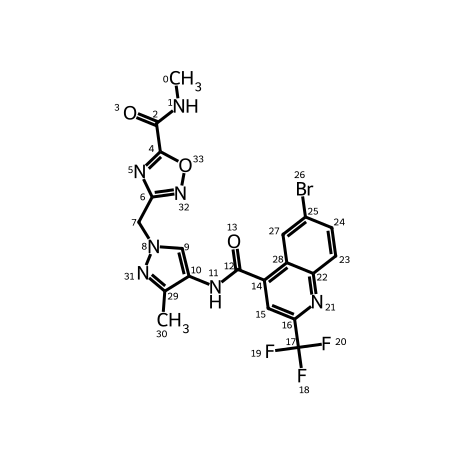 CNC(=O)c1nc(Cn2cc(NC(=O)c3cc(C(F)(F)F)nc4ccc(Br)cc34)c(C)n2)no1